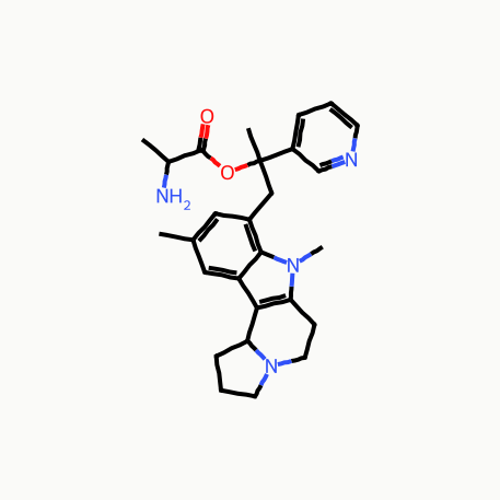 Cc1cc(CC(C)(OC(=O)C(C)N)c2cccnc2)c2c(c1)c1c(n2C)CCN2CCCC12